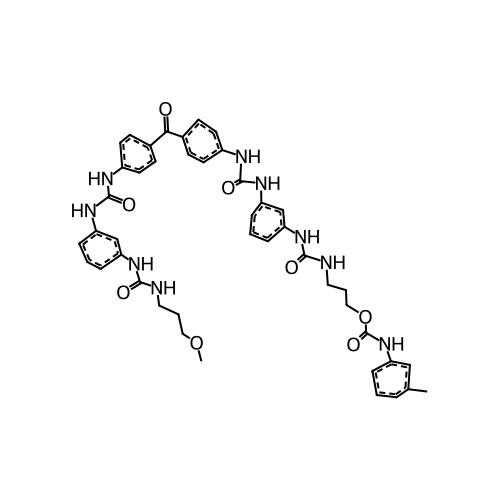 COCCCNC(=O)Nc1cccc(NC(=O)Nc2ccc(C(=O)c3ccc(NC(=O)Nc4cccc(NC(=O)NCCCOC(=O)Nc5cccc(C)c5)c4)cc3)cc2)c1